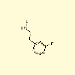 Fc1cccc(CCNCl)c1